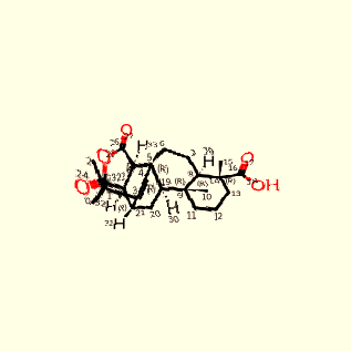 CC(C)C1=C[C@@]23CC[C@@H]4[C@](C)(CCC[C@@]4(C)C(=O)O)[C@H]2C[C@@H]1[C@H]1C(=O)OC(=O)[C@H]13